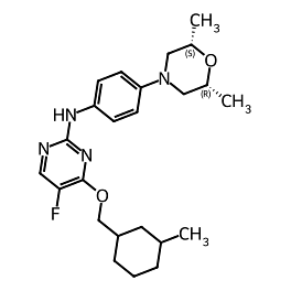 CC1CCCC(COc2nc(Nc3ccc(N4C[C@@H](C)O[C@@H](C)C4)cc3)ncc2F)C1